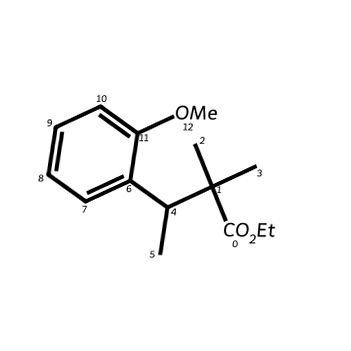 CCOC(=O)C(C)(C)C(C)c1ccccc1OC